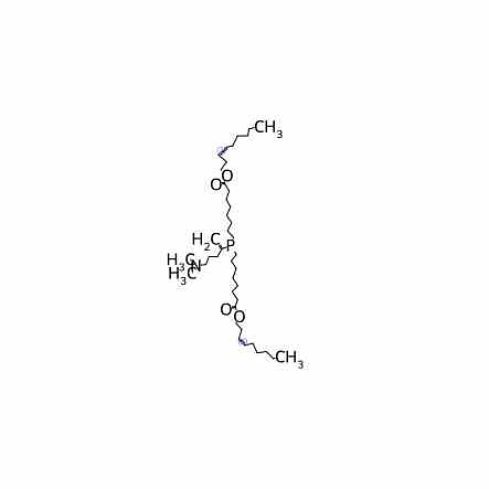 C=C(CCCN(C)C)P(CCCCCCCC(=O)OCC/C=C\CCCCC)CCCCCCCC(=O)OCC/C=C\CCCCC